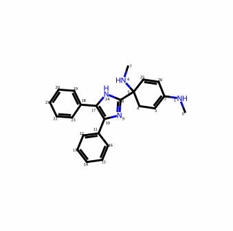 CNC1=CCC(NC)(c2nc(-c3ccccc3)c(-c3ccccc3)[nH]2)C=C1